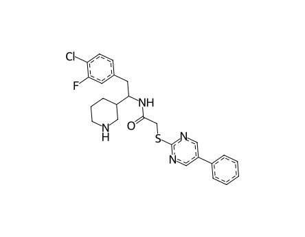 O=C(CSc1ncc(-c2ccccc2)cn1)NC(Cc1ccc(Cl)c(F)c1)C1CCCNC1